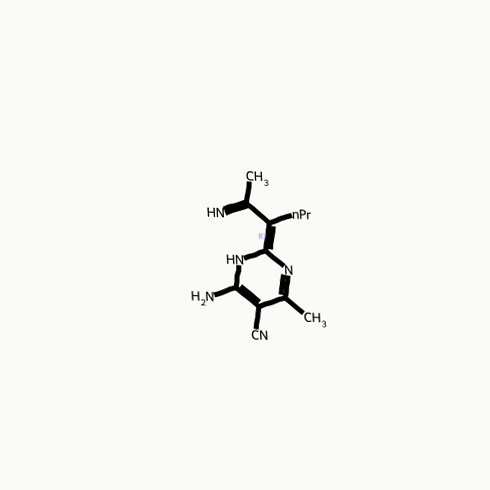 CCC/C(C(C)=N)=C1\N=C(C)C(C#N)=C(N)N1